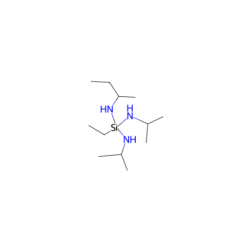 CCC(C)N[Si](CC)(NC(C)C)NC(C)C